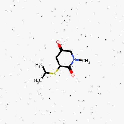 CC(C)SC1CC(=O)CN(C)C1=O